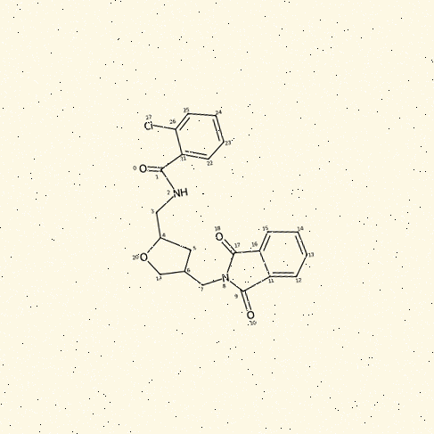 O=C(NCC1CC(CN2C(=O)c3ccccc3C2=O)CO1)c1ccccc1Cl